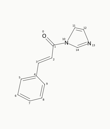 O=C(C=Cc1ccccc1)n1ccnc1